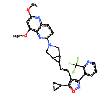 COc1cc(OC)c2nc(N3CC4C(/C=C/c5c(-c6cccnc6C(F)(F)F)noc5C5CC5)C4C3)ccc2n1